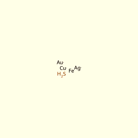 S.[Ag].[Au].[Cu].[Fe]